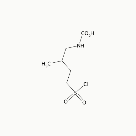 CC(CCS(=O)(=O)Cl)CNC(=O)O